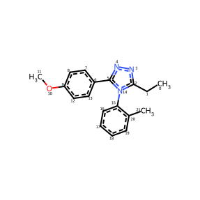 CCc1nnc(-c2ccc(OC)cc2)n1-c1ccccc1C